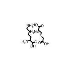 NCCCCC(N)C(=O)O.N[C@@H](CSCC(=O)O)C(=O)O